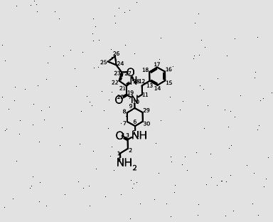 NCCC(=O)NC1CCC(N(CCc2ccccc2)C(=O)c2cc(C3CC3)on2)CC1